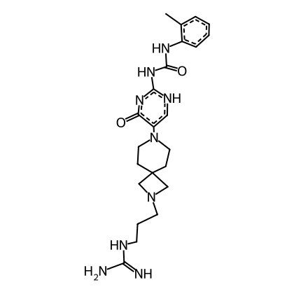 Cc1ccccc1NC(=O)Nc1nc(=O)c(N2CCC3(CC2)CN(CCCNC(=N)N)C3)c[nH]1